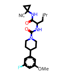 COc1cc(F)cc(C2CCN(C(=O)NC(CC(C)C)C(=O)NC3(C#N)CC3)CC2)c1